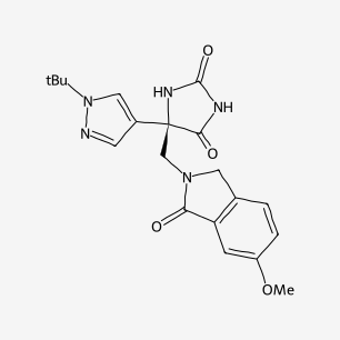 COc1ccc2c(c1)C(=O)N(C[C@@]1(c3cnn(C(C)(C)C)c3)NC(=O)NC1=O)C2